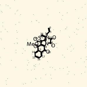 C=CCN1C(=O)C(=O)N2C3=C(C(=O)c4ccccc4C3=O)[C@]3(C(=O)OC)SC=C[C@]123